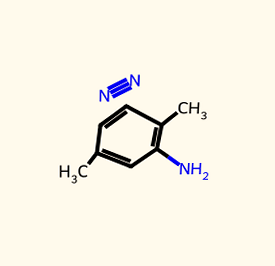 Cc1ccc(C)c(N)c1.N#N